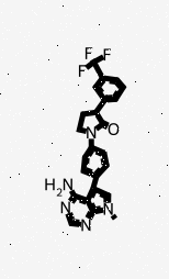 Cn1cc(-c2ccc(N3CCC(c4cccc(C(F)(F)F)c4)C3=O)cc2)c2c(N)ncnc21